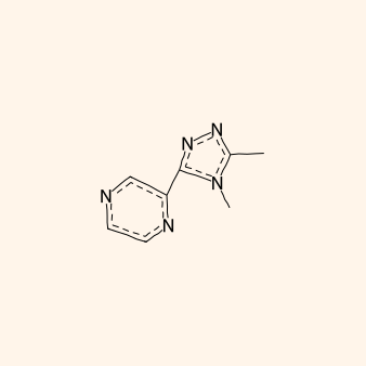 Cc1nnc(-c2cnccn2)n1C